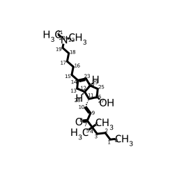 CCCCC(C)(C)C(=O)/C=C/[C@@H]1[C@H]2CC(CCCCCN(C)C)=C[C@H]2C[C@H]1O